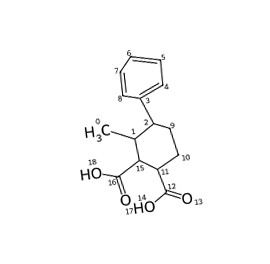 CC1C(c2ccccc2)CCC(C(=O)O)C1C(=O)O